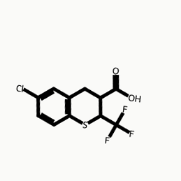 O=C(O)C1Cc2cc(Cl)ccc2SC1C(F)(F)F